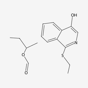 CCC(C)OC=O.CCSc1ncc(O)c2ccccc12